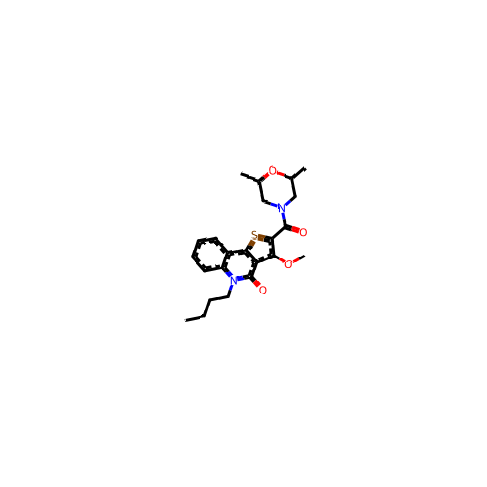 CCCCn1c(=O)c2c(OC)c(C(=O)N3CC(C)OC(C)C3)sc2c2ccccc21